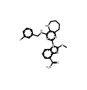 COc1nc2c(C(N)=O)cccc2n1-c1nc2c(c(NCc3cccc(F)c3)n1)NCCCC2